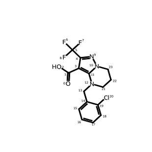 O=C(O)c1c(C(F)(F)F)nn2c1N(Cc1ccccc1Cl)CCC2